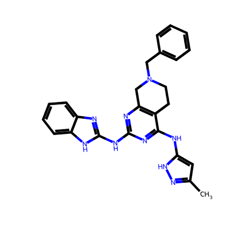 Cc1cc(Nc2nc(Nc3nc4ccccc4[nH]3)nc3c2CCN(Cc2ccccc2)C3)[nH]n1